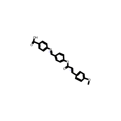 COc1ccc(/C=C/C(=O)Oc2ccc(/C=N/c3ccc(C(=O)O)cc3)cc2)cc1